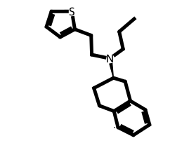 CCCN(CCc1cccs1)[C@@H]1CCc2[c]cccc2C1